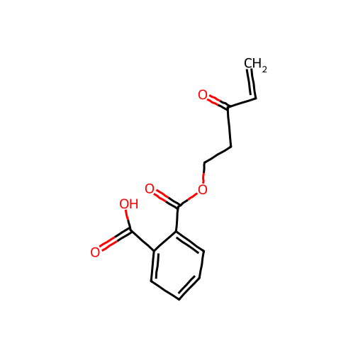 C=CC(=O)CCOC(=O)c1ccccc1C(=O)O